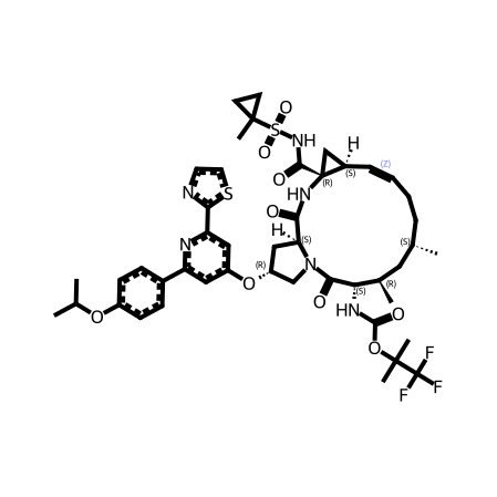 CC(C)Oc1ccc(-c2cc(O[C@@H]3C[C@H]4C(=O)N[C@]5(C(=O)NS(=O)(=O)C6(C)CC6)C[C@H]5/C=C\CC[C@H](C)C[C@@H](C)[C@H](NC(=O)OC(C)(C)C(F)(F)F)C(=O)N4C3)cc(-c3nccs3)n2)cc1